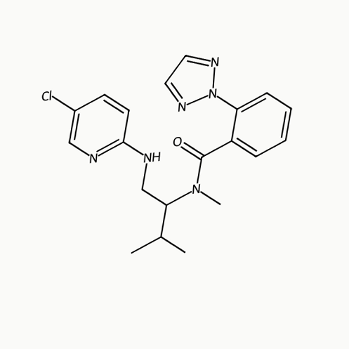 CC(C)C(CNc1ccc(Cl)cn1)N(C)C(=O)c1ccccc1-n1nccn1